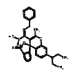 CCN(CC)c1ccc2c(c1)OC(C)=C(/C(=N\Cc1ccccc1)N(C)C)C21OC(=O)c2ccccc21